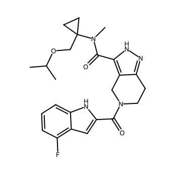 CC(C)OCC1(N(C)C(=O)c2[nH]nc3c2CN(C(=O)c2cc4c(F)cccc4[nH]2)CC3)CC1